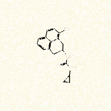 Nc1ccc2cccc3c2c1CC(NC(=S)NC1CC1)C3